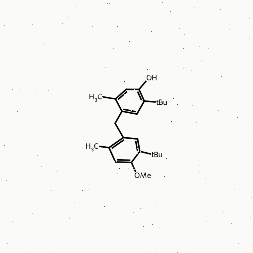 COc1cc(C)c(Cc2cc(C(C)(C)C)c(O)cc2C)cc1C(C)(C)C